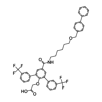 O=C(O)COc1c(-c2cccc(C(F)(F)F)c2)cc(C(=O)NCCCCCCOCc2ccc(-c3ccccc3)cc2)cc1-c1cccc(C(F)(F)F)c1